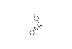 Cc1ccc(CCC(=O)C(C)Sc2ccccc2)cc1